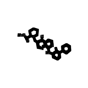 COC(=O)C1CCCCN1Cc1cnc2c(Nc3cccc(-c4ccccc4)c3C)nccc2c1Cl